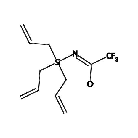 C=CC[Si](CC=C)(CC=C)N=C([O])C(F)(F)F